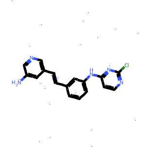 Nc1cncc(/C=C/c2cccc(Nc3ccnc(Cl)n3)c2)c1